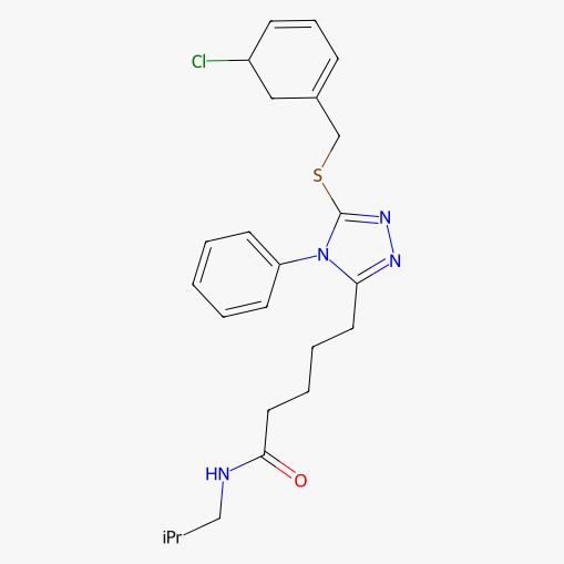 CC(C)CNC(=O)CCCCc1nnc(SCC2=CC=CC(Cl)C2)n1-c1ccccc1